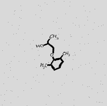 Cc1cccc(C)c1OCC(C)O